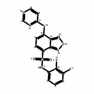 O=S(=O)(Nc1cccc(F)c1F)c1ccc(Sc2ccncn2)c2nonc12